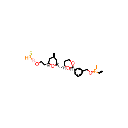 C=CPOCc1cccc([C@H]2OCC[C@@H](C[C@H]3CC(=C)C[C@H](CCOB=[PH]=S)O3)O2)c1